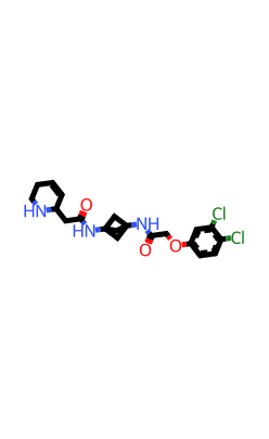 O=C(COc1ccc(Cl)c(Cl)c1)NC12CC(NC(=O)CC3C=CCCN3)(C1)C2